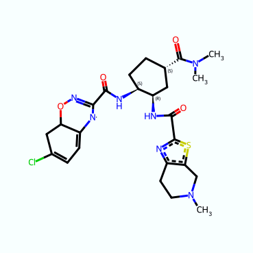 CN1CCc2nc(C(=O)N[C@@H]3C[C@@H](C(=O)N(C)C)CC[C@@H]3NC(=O)C3=NOC4CC(Cl)=CC=C4[N]3)sc2C1